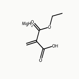 C=C(C(=O)O)C(=O)OCC.[MgH2]